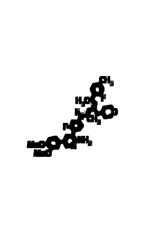 COc1ccc(-c2cnc(N)c(-c3ccc(N(F)/C(C)=C/N(/C=C(\C)c4ccc(C)cc4F)CC4CCOCC4)cc3F)c2)cc1OC